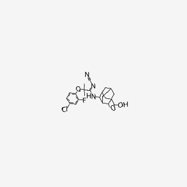 CC1C2CC3CC(CC1(C(=O)O)C3)C2NC(=NC#N)C(C)(C)Oc1ccc(Cl)cc1F